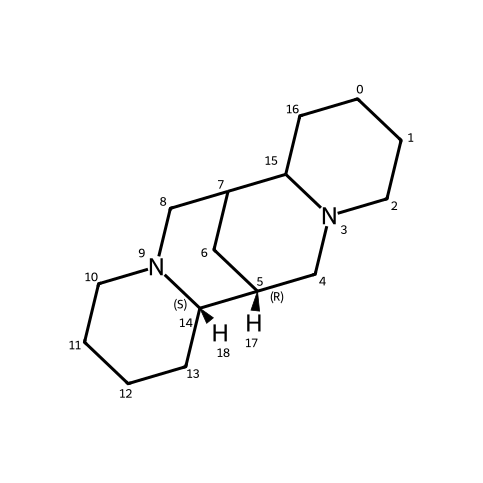 C1CCN2C[C@H]3CC(CN4CCCC[C@@H]34)C2C1